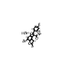 Br.CNC(=O)c1c(-c2ccc(F)cc2)oc2cc(Br)c3c(c12)CC(C)O3